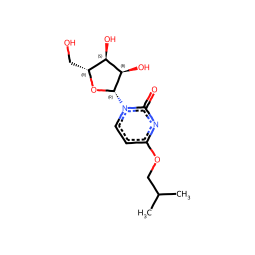 CC(C)COc1ccn([C@@H]2O[C@H](CO)[C@@H](O)[C@H]2O)c(=O)n1